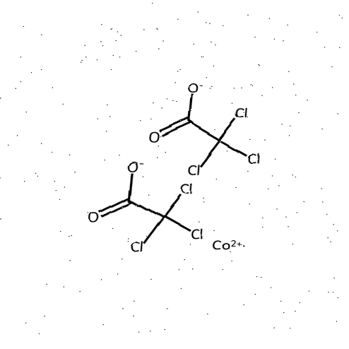 O=C([O-])C(Cl)(Cl)Cl.O=C([O-])C(Cl)(Cl)Cl.[Co+2]